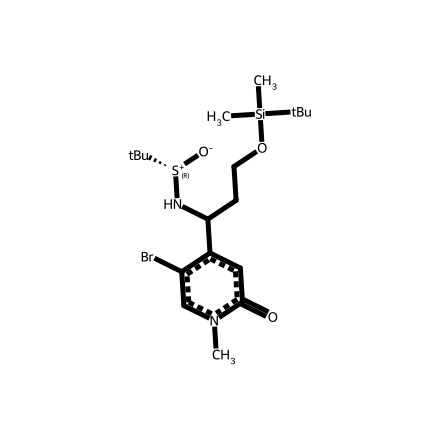 Cn1cc(Br)c(C(CCO[Si](C)(C)C(C)(C)C)N[S@@+]([O-])C(C)(C)C)cc1=O